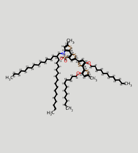 CCCCCCCCCCCCCCCCC(CCCCCCCCCCCCCC)CN1c2cc(C)sc2-c2sc(-c3cc(OCCCCCCCCCCCC)c(-c4sc(C)cc4OCCCCCCCCCCCC)s3)cc2S1(=O)=O